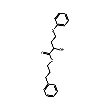 O=C(OCCCc1ccccc1)C(O)CCSc1ccccc1